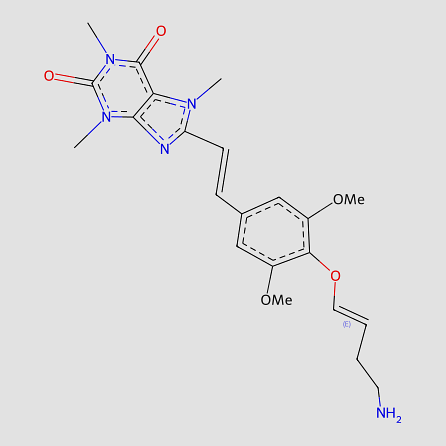 COc1cc(C=Cc2nc3c(c(=O)n(C)c(=O)n3C)n2C)cc(OC)c1O/C=C/CCN